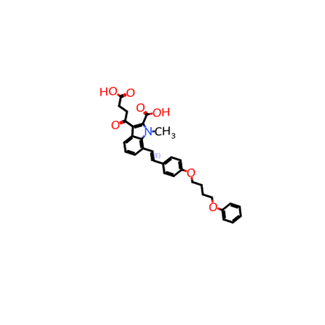 Cn1c(C(=O)O)c(C(=O)CCC(=O)O)c2cccc(/C=C/c3ccc(OCCCCOc4ccccc4)cc3)c21